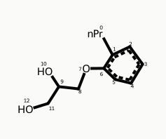 CCCc1ccccc1OCC(O)CO